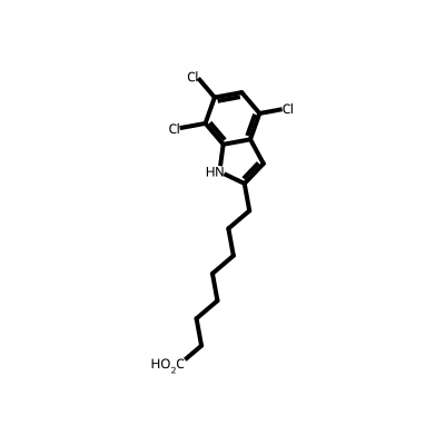 O=C(O)CCCCCCCc1cc2c(Cl)cc(Cl)c(Cl)c2[nH]1